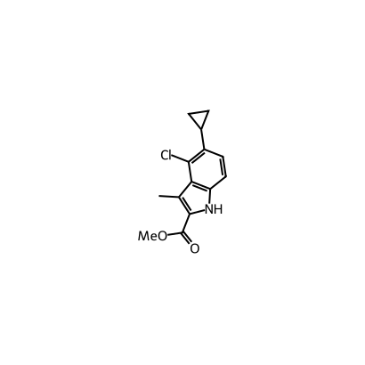 COC(=O)c1[nH]c2ccc(C3CC3)c(Cl)c2c1C